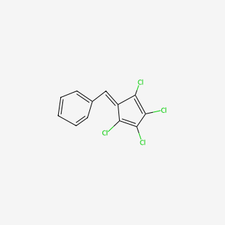 ClC1=C(Cl)C(Cl)=C(Cl)C1=Cc1ccccc1